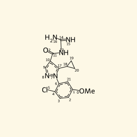 COc1ccc(Cl)c(-n2ncc(C(=O)NC(=N)N)c2C2CC2)c1